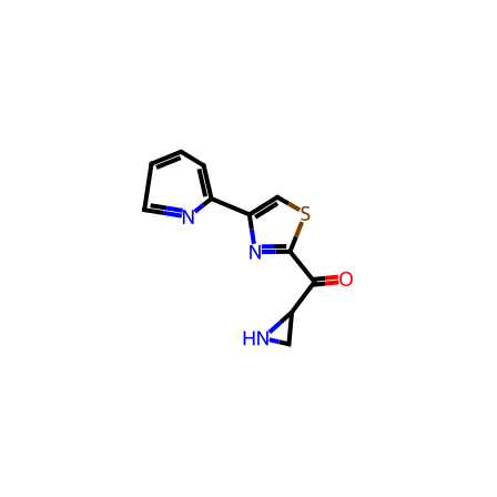 O=C(c1nc(-c2ccccn2)cs1)C1CN1